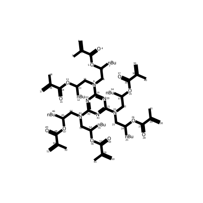 C=C(C)C(=O)OC(CCCC)CN(CC(CCCC)OC(=O)C(=C)C)c1nc(N(CC(CCCC)OC(=O)C(=C)C)CC(CCCC)OC(=O)C(=C)C)nc(N(CC(CCCC)OC(=O)C(=C)C)CC(CCCC)OC(=O)C(=C)C)n1